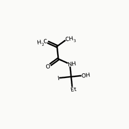 C=C(C)C(=O)NC(O)(I)CC